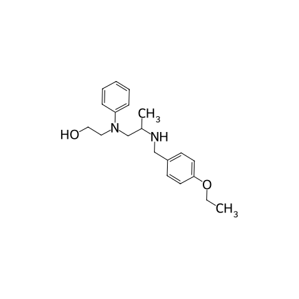 CCOc1ccc(CNC(C)CN(CCO)c2ccccc2)cc1